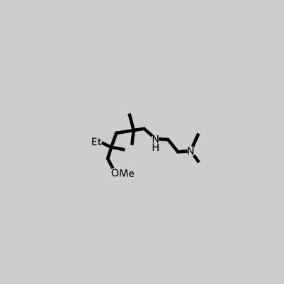 CCC(C)(COC)CC(C)(C)CNCCN(C)C